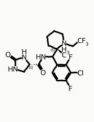 C[C@@]1(C(NC(=O)[C@@H]2CNC(=O)N2)c2ccc(F)c(Cl)c2F)CCCCN1CC(F)(F)F